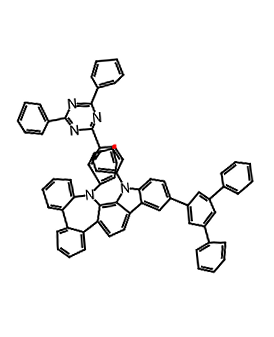 c1ccc(-c2cc(-c3ccccc3)cc(-c3ccc4c(c3)c3ccc5c(c3n4-c3ccc(-c4nc(-c6ccccc6)nc(-c6ccccc6)n4)cc3)N(c3ccccc3)c3ccccc3-c3ccccc3-5)c2)cc1